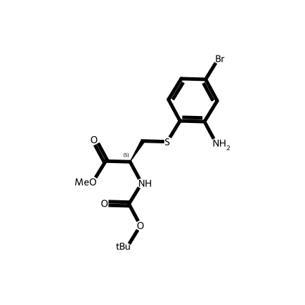 COC(=O)[C@@H](CSc1ccc(Br)cc1N)NC(=O)OC(C)(C)C